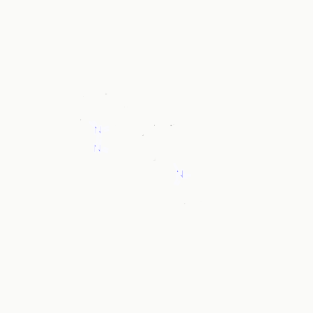 Cc1ccc(F)c2ccn(-c3cccc(-c4cnn5ccccc45)c3)c12